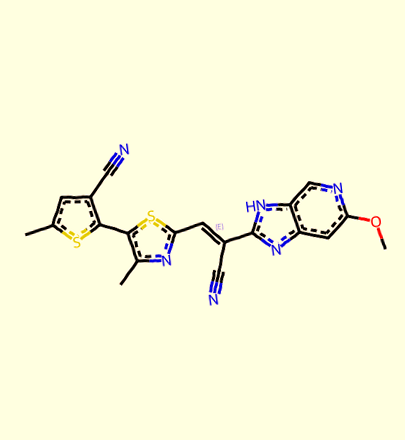 COc1cc2nc(/C(C#N)=C/c3nc(C)c(-c4sc(C)cc4C#N)s3)[nH]c2cn1